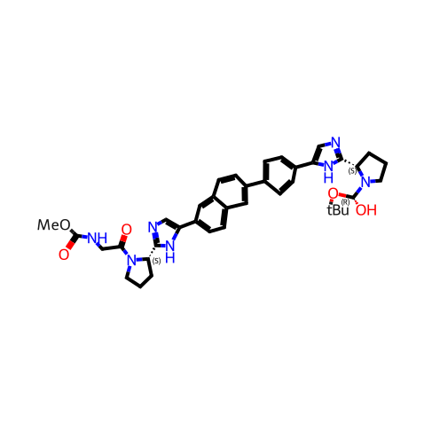 COC(=O)NCC(=O)N1CCC[C@H]1c1ncc(-c2ccc3cc(-c4ccc(-c5cnc([C@@H]6CCCN6[C@H](O)OC(C)(C)C)[nH]5)cc4)ccc3c2)[nH]1